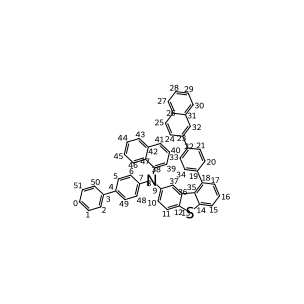 c1ccc(-c2ccc(N(c3ccc4sc5cccc(-c6ccc(-c7ccc8ccccc8c7)cc6)c5c4c3)c3cccc4ccccc34)cc2)cc1